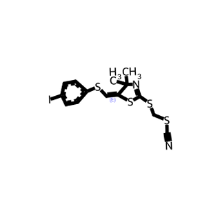 CC1(C)N=C(SCSC#N)S/C1=C/Sc1ccc(I)cc1